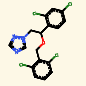 Clc1ccc(C(Cn2cncn2)OCc2c(Cl)cccc2Cl)c(Cl)c1